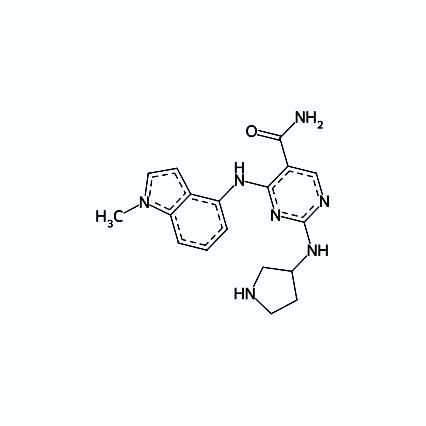 Cn1ccc2c(Nc3nc(NC4CCNC4)ncc3C(N)=O)cccc21